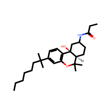 CCCCCCC(C)(C)c1ccc2c(c1)OC(C)(C)[C@@H]1CCC(NC(=O)CC)C[C@@]21O